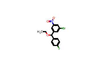 CCOC(c1ccc(F)cc1)c1cc(Br)cc([N+](=O)[O-])c1